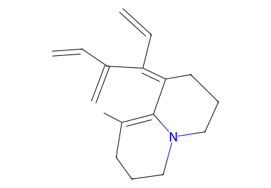 C=CC(=C)/C(C=C)=C1/CCCN2CCCC(C)=C12